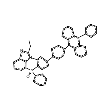 CCc1nc2cccc3c2n1-c1cc(-c2ccc(-c4c5ccccc5c(-c5ccccc5)c5ccccc45)cc2)ccc1P3(=O)c1ccccc1